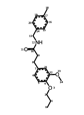 CCCOc1ccc(CCC(=O)NCc2ccc(C)cc2)cc1OC